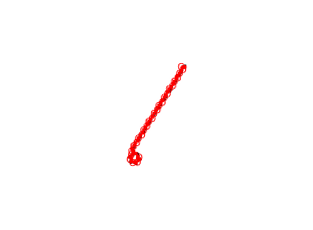 C=CCOC(C)COC(C)COC(C)COC(C)COC(C)COCCOCCOCCOCCOCCOCCOCCOCCOCCOCCOCCOCCOCCOCCOCCOCCOCCOCCOCCOCCOC(=O)C=C